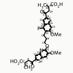 COc1cc2sc(C(=O)C[C@H](C)C(=O)O)cc2nc1OCCCc1c(OC)cc2sc(C(=O)C[C@H](C)C(=O)O)cc2c1F